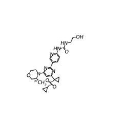 C[C@H]1COCCN1c1cc(C2(S(=O)(=O)C3CC3)CC2)nc(-c2ccc(NC(=O)NCCO)nc2)n1